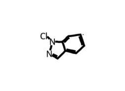 Cln1ncc2cc[c]cc21